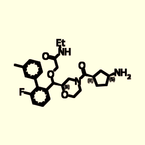 CCNC(=O)COC(c1cccc(F)c1-c1cccc(C)c1)[C@H]1CN(C(=O)[C@@H]2CC[C@H](N)C2)CCO1